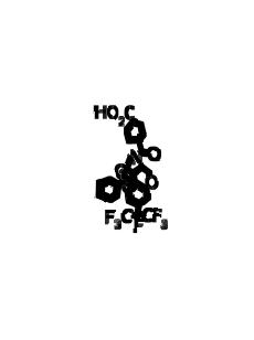 O=C(O)c1ccc(C(=O)N2CCC3(S(=O)(=O)c4ccccc4)c4ccc(C(F)(C(F)(F)F)C(F)(F)F)cc4OCC23)cc1